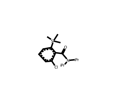 CC(C)N(C(=O)c1c(Cl)cccc1[Si](C)(C)C)C(C)C